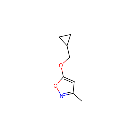 Cc1cc(OCC2CC2)on1